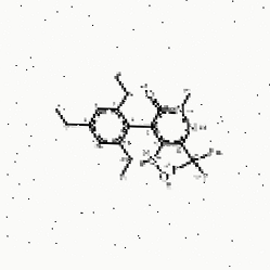 CCc1cc(CC)c(-c2c([S+](C)[O-])c(C(F)(F)F)nn(C)c2=O)c(CC)c1